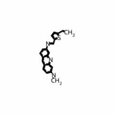 C=Cc1ccc(C=Nc2ccc3cc4ccc(N=C)cc4nc3c2)s1